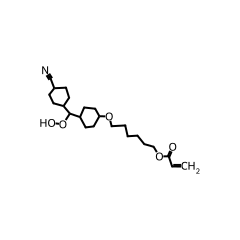 C=CC(=O)OCCCCCCOC1CCC(C(OO)C2CCC(C#N)CC2)CC1